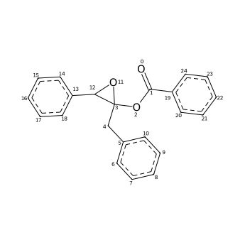 O=C(OC1(Cc2ccccc2)OC1c1ccccc1)c1ccccc1